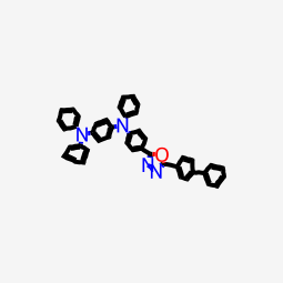 c1ccc(-c2ccc(-c3nnc(-c4ccc(N(c5ccccc5)c5ccc(N(c6ccccc6)c6ccccc6)cc5)cc4)o3)cc2)cc1